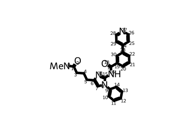 CNC(=O)CCCc1cn(-c2ccccc2)c(NC(=O)c2cccc(-c3ccncc3)c2)n1